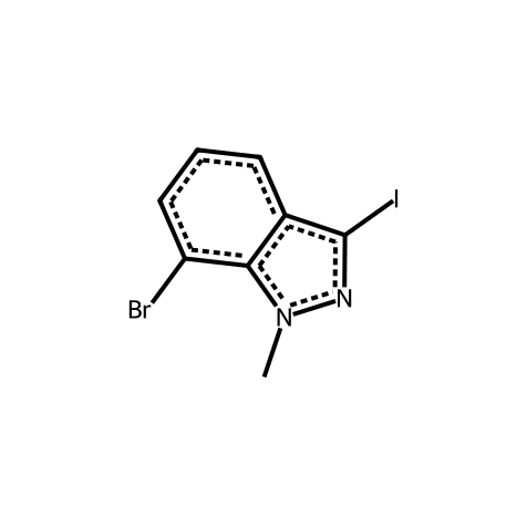 Cn1nc(I)c2cccc(Br)c21